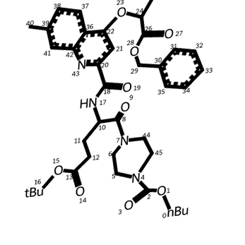 CCCCOC(=O)N1CCN(C(=O)C(CCC(=O)OC(C)(C)C)NC(=O)c2cc(OC(C)C(=O)OCc3ccccc3)c3ccc(C)cc3n2)CC1